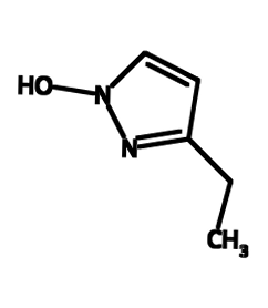 CCc1ccn(O)n1